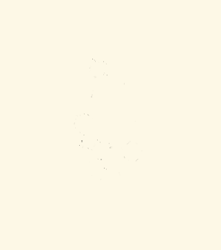 [2H]C([2H])([2H])N1C(=O)c2cccc(OC(F)F)c2[C@H]2C[C@@H]1c1nc3ccc(C#Cc4cnnn4C)cc3n12